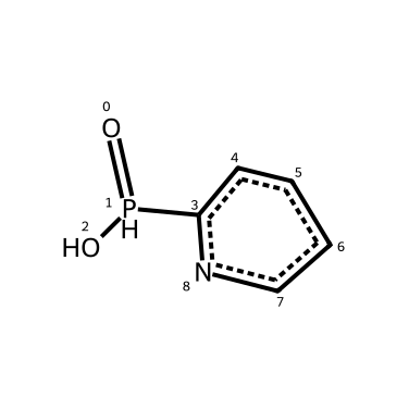 O=[PH](O)c1ccccn1